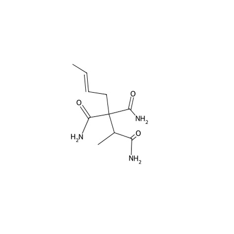 CC=CCC(C(N)=O)(C(N)=O)C(C)C(N)=O